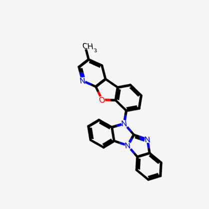 CC1=CC2c3cccc(-n4c5ccccc5n5c6ccccc6nc45)c3OC2N=C1